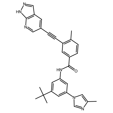 Cc1cn(-c2cc(NC(=O)c3ccc(C)c(C#Cc4cnc5[nH]ncc5c4)c3)cc(C(C)(C)C)c2)cn1